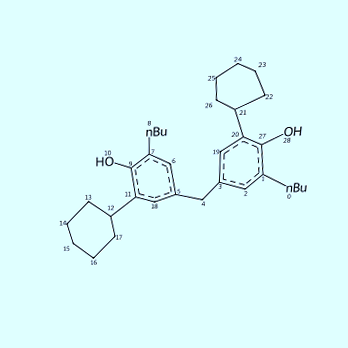 CCCCc1cc(Cc2cc(CCCC)c(O)c(C3CCCCC3)c2)cc(C2CCCCC2)c1O